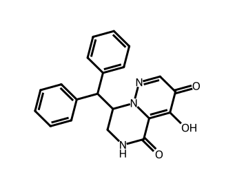 O=C1NCC(C(c2ccccc2)c2ccccc2)n2ncc(=O)c(O)c21